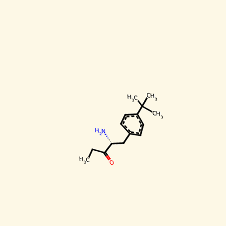 CCC(=O)[C@H](N)Cc1ccc(C(C)(C)C)cc1